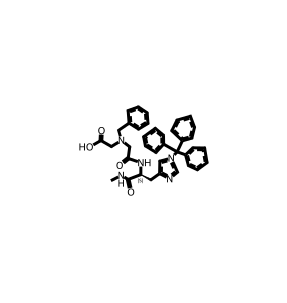 CNC(=O)[C@H](Cc1cn(C(c2ccccc2)(c2ccccc2)c2ccccc2)cn1)NC(=O)CN(CC(=O)O)Cc1ccccc1